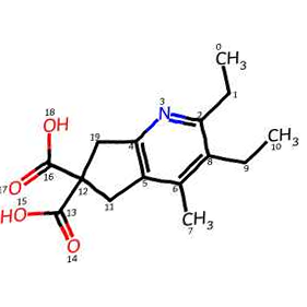 CCc1nc2c(c(C)c1CC)CC(C(=O)O)(C(=O)O)C2